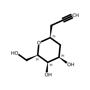 C#CC[C@H]1C[C@@H](O)[C@@H](O)[C@@H](CO)O1